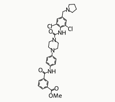 COC(=O)c1cccc(C(=O)Nc2ccc(N3CCN(C(=O)Nc4c(Cl)cc(CN5CCCC5)cc4Cl)CC3)cc2)c1